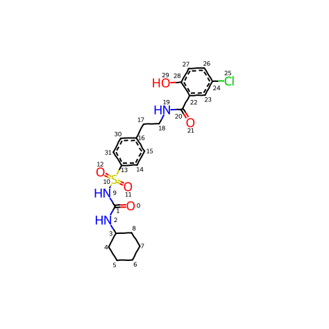 O=C(NC1CCCCC1)NS(=O)(=O)c1ccc(CCNC(=O)c2cc(Cl)ccc2O)cc1